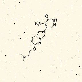 CN(C)CCOc1ccc2c(n1)CN(c1cn[nH]c(=O)c1C(F)(F)F)C2